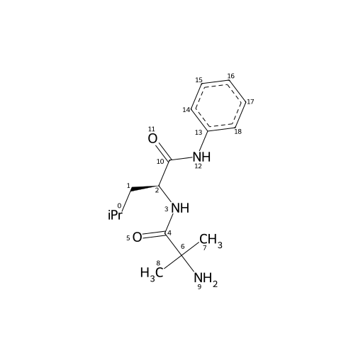 CC(C)C[C@H](NC(=O)C(C)(C)N)C(=O)Nc1ccccc1